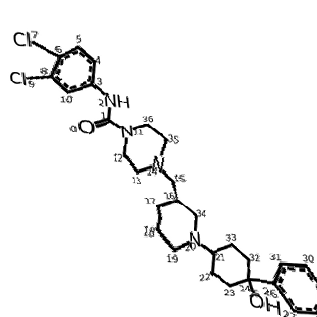 O=C(Nc1ccc(Cl)c(Cl)c1)N1CCN(C[C@@H]2CCCN(C3CCC(O)(c4ccccc4)CC3)C2)CC1